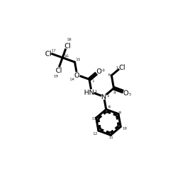 O=C(NN(C(=O)CCl)c1ccccc1)OCC(Cl)(Cl)Cl